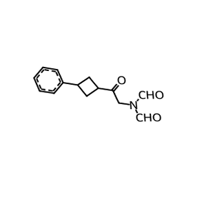 O=CN(C=O)CC(=O)C1CC(c2ccccc2)C1